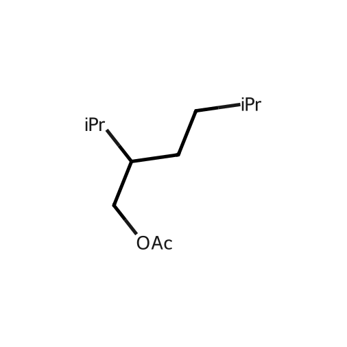 CC(=O)OCC(CCC(C)C)C(C)C